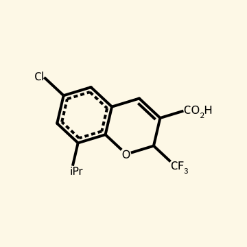 CC(C)c1cc(Cl)cc2c1OC(C(F)(F)F)C(C(=O)O)=C2